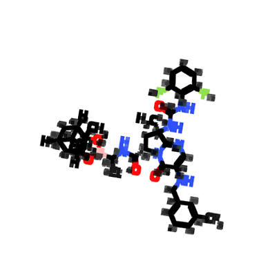 CC[C@H](NC(=O)[C@@H]1C[C@@](C)(NC(=O)Nc2c(F)cccc2F)c2ncc(NCc3cccc(C(F)(F)F)c3)c(=O)n21)B1O[C@@H]2C[C@@H]3C[C@@H](C3(C)C)[C@]2(C)O1